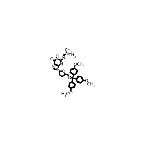 COc1ccc(C(OCC2CCC(n3cnc4c(=O)[nH]c(/N=C/N(C)C)nc43)O2)(c2ccc(OC)cc2)c2ccc(OC)cc2)cc1